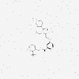 O=C(NCC1CCCNC1C(F)(F)F)c1cccc(NCC2NNC3C4CCNCC4OCCN23)c1